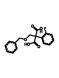 O=C(O)C(COCc1ccccc1)(C(=O)O)c1ccccc1F